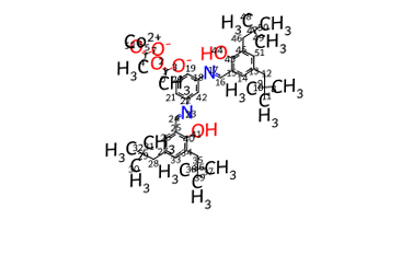 CC(=O)[O-].CC(=O)[O-].CC(C)(C)Cc1cc(C=Nc2cccc(N=Cc3cc(CC(C)(C)C)cc(CC(C)(C)C)c3O)c2)c(O)c(CC(C)(C)C)c1.[Co+2]